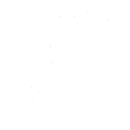 C[C@@H]1CN(C(=O)c2ccc(NC(=O)NC3CCC3)cc2)C[C@H](C)N1Cc1cccc(C(=O)NC(C)(C)C)c1